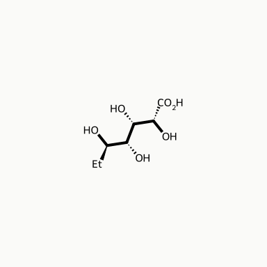 CC[C@@H](O)[C@@H](O)[C@H](O)[C@@H](O)C(=O)O